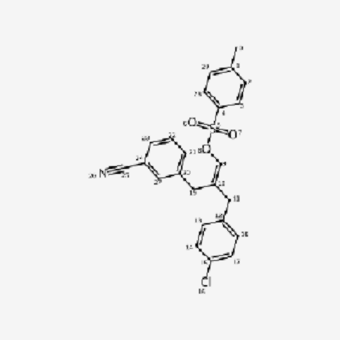 Cc1ccc(S(=O)(=O)OC=C(Cc2ccc(Cl)cc2)Cc2cccc(C#N)c2)cc1